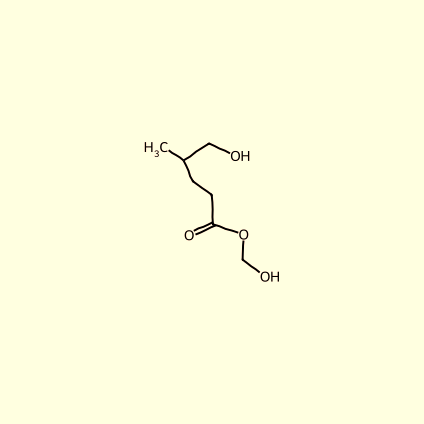 CC(CO)CCC(=O)OCO